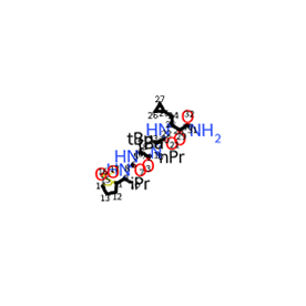 CCCN(C(=O)[C@@H](NC(=O)NC(C(C)C)C1CCCS1(=O)=O)C(C)(C)C)C(C(=O)NC(CC1CC1)C(=O)C(N)=O)C(C)(C)C